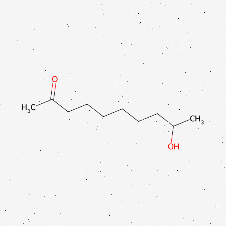 CC(=O)CCCCCCC(C)O